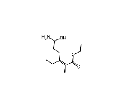 CCOC(=O)C(C)=C(CC)CCC(N)O